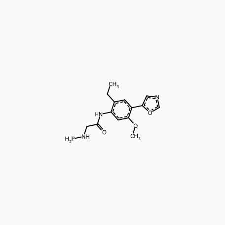 CCc1cc(-c2cnco2)c(OC)cc1NC(=O)CNP